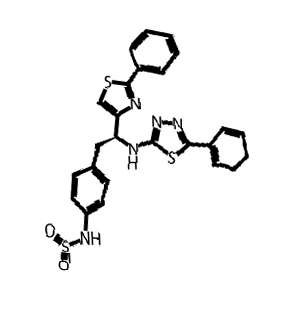 O=[SH](=O)Nc1ccc(C[C@H](Nc2nnc(C3=CCCC=C3)s2)c2csc(-c3ccccc3)n2)cc1